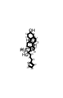 C[C@]12CC[C@H]3[C@@H](CC=C4C[C@@H](O)CC[C@@]43C)[C@@H]1CC[C@@H]2[C@@](C)(O)CCCc1cccs1